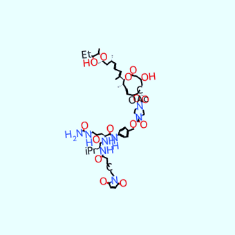 CC[C@H](O)C(C)O[C@@H](C)C[C@H](C)/C=C/C=C(\C)[C@H]1OC(=O)C[C@H](O)CC[C@@](C)(OC(=O)N2CCN(C(=O)OCc3ccc(NC(=O)[C@H](CCCNC(N)=O)NC(=O)[C@@H](NC(=O)CCCCCN4C(=O)C=CC4=O)C(C)C)cc3)CC2)[C@@H](OC(C)=O)/C=C/[C@@H]1C